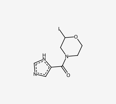 O=C(c1cnc[nH]1)N1CCOC(I)C1